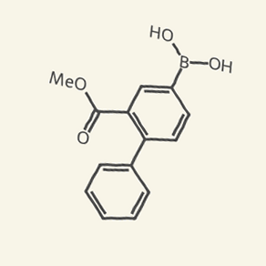 COC(=O)c1cc(B(O)O)ccc1-c1ccccc1